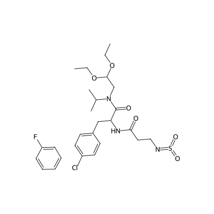 CCOC(CN(C(=O)C(Cc1ccc(Cl)cc1)NC(=O)CCN=S(=O)=O)C(C)C)OCC.Fc1ccccc1